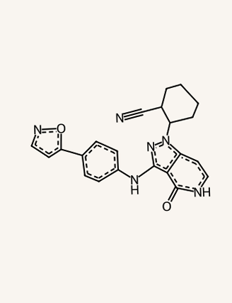 N#CC1CCCCC1n1nc(Nc2ccc(-c3ccno3)cc2)c2c(=O)[nH]ccc21